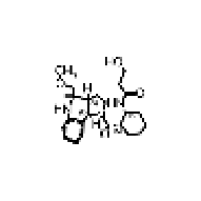 COC[C@@H]1Nc2ccccc2[C@H]2[C@H]1CCN2C(=O)[C@H]1CCCC[C@H]1NC(=O)CCO